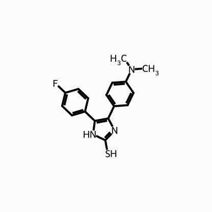 CN(C)c1ccc(-c2nc(S)[nH]c2-c2ccc(F)cc2)cc1